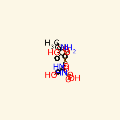 CCCCC1(CC)C(O)C(c2ccccc2)c2cc(SCC(=O)N[C@@H](C(=O)NCCS(=O)(=O)O)c3ccc(O)cc3)ccc2S(=O)(=O)C1N